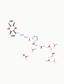 CCC[C@H](NC(=O)[C@H](C)N)C(=O)N[C@@H](CC(C)C)C(=O)NCC(=O)N[C@@H](CC(C)C)C(=O)N1CCC[C@H]1C(=O)NCCCNc1cccc2c1C(=O)c1ccccc1C2=O.O=C(O)C(F)(F)F